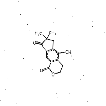 Cc1c2c(cc3c1CC(C)(C)C3=O)C(=O)OCC2